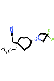 CC[C@]1(CC#N)CC[C@H](N2CC(F)(F)C2)CC1